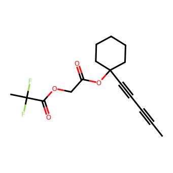 CC#CC#CC1(OC(=O)COC(=O)C(C)(F)F)CCCCC1